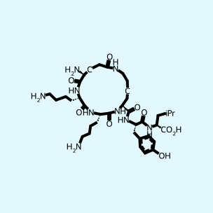 CC(C)C[C@H](NC(=O)[C@H](Cc1ccc(O)cc1)NC(=O)[C@@H]1CCCCNC(=O)CC[C@H](N)C(=O)N[C@@H](CCCCN)C(=O)N[C@@H](CCCCN)C(=O)N1)C(=O)O